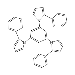 c1ccc(-c2cccn2-c2cc(-n3cccc3-c3ccccc3)cc(-n3cccc3-c3ccccc3)c2)cc1